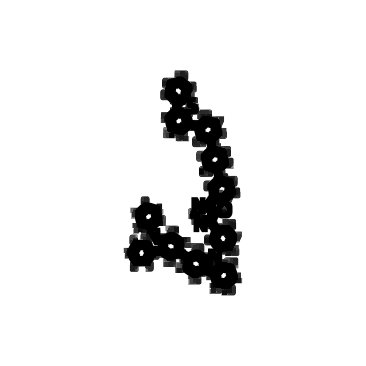 c1ccc(-n2c3ccccc3c3cc(-c4ccc5c6ccccc6n(-c6cccc(-c7ncnc8c7oc7ccc(-c9ccc(-c%10cccc(-c%11cccc%12c%11sc%11ccccc%11%12)c%10)cc9)cc78)c6)c5c4)ccc32)cc1